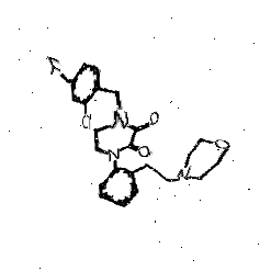 O=C1C(=O)N(c2ccccc2CCN2CCOCC2)CCN1Cc1ccc(F)cc1Cl